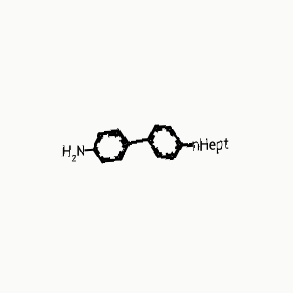 CCCCCCCc1ccc(-c2ccc(N)cc2)cc1